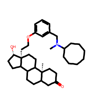 CN(Cc1cccc(OCC[C@]23CCC4C(CCC5CC(=O)CC[C@@]54C)C2CC[C@@H]3O)c1)C1CCCCCCC1